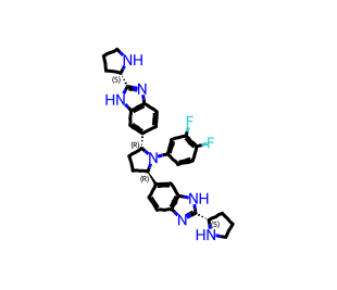 Fc1ccc(N2[C@@H](c3ccc4nc([C@@H]5CCCN5)[nH]c4c3)CC[C@@H]2c2ccc3nc([C@@H]4CCCN4)[nH]c3c2)cc1F